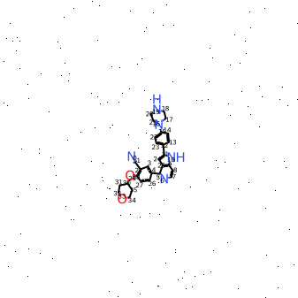 N#Cc1cc(-c2nccc3[nH]c(-c4ccc(N5CCNCC5)cc4)cc23)ccc1OC1CCOCC1